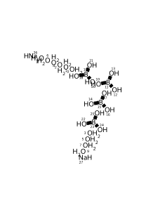 O.O.O.O.O.O.O.O.O.O.OB(O)O.OB(O)O.OB(O)O.OB(O)O.[NaH].[NaH]